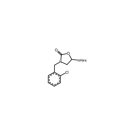 CCCCCCC1CN(Cc2ccccc2Cl)C(=O)O1